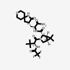 CC(C)(C)[C@H](NC(=O)C(F)(F)F)C(=O)N1C[C@H]2[C@@H]([C@H]1C(=O)N[C@@H](C[C@@H]1CC3(CCOCC3)NC1=O)C(N)=O)C2(C)C